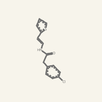 O=C(Cc1ccc(Cl)cc1)N/C=C/c1cccs1